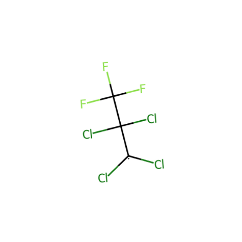 FC(F)(F)C(Cl)(Cl)[C](Cl)Cl